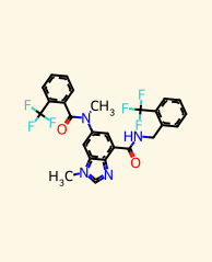 CN(C(=O)c1ccccc1C(F)(F)F)c1cc(C(=O)NCc2ccccc2C(F)(F)F)c2ncn(C)c2c1